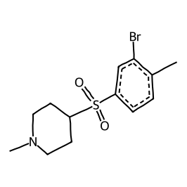 Cc1ccc(S(=O)(=O)C2CCN(C)CC2)cc1Br